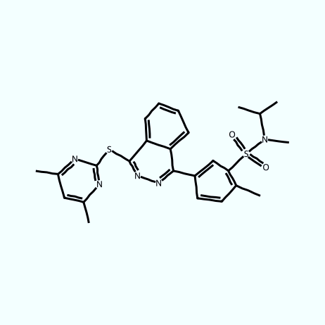 Cc1cc(C)nc(Sc2nnc(-c3ccc(C)c(S(=O)(=O)N(C)C(C)C)c3)c3ccccc23)n1